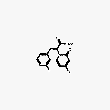 COC(=O)C(Cc1cccc(F)c1)n1ccc(Br)cc1=O